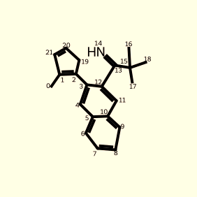 CC1=C(c2cc3ccccc3cc2C(=N)C(C)(C)C)CC=C1